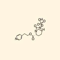 O=C(OCCc1ccncc1)[C@H]1CC[C@H]2CN1C(=O)N2OS(=O)(=O)O